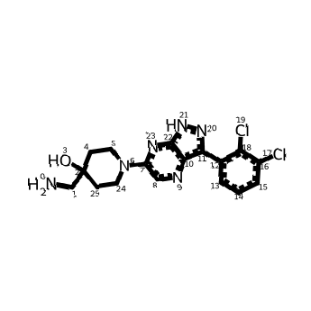 NCC1(O)CCN(c2cnc3c(-c4cccc(Cl)c4Cl)n[nH]c3n2)CC1